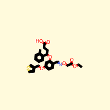 CCOC(=O)CON=Cc1ccc(OCc2ccsc2)cc1OC(CCC(=O)O)c1ccccc1C